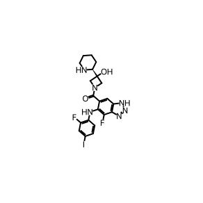 O=C(c1cc2[nH]nnc2c(F)c1Nc1ccc(I)cc1F)N1CC(O)([C@@H]2CCCCN2)C1